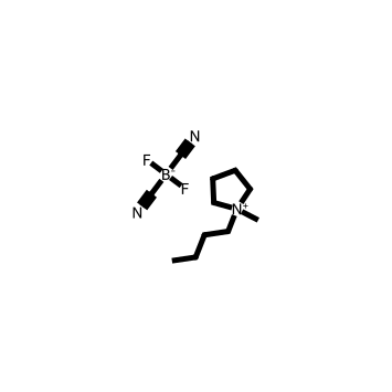 CCCC[N+]1(C)CCCC1.N#C[B-](F)(F)C#N